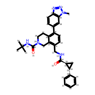 Cn1nnc2ccc(-c3ccc(CNC(=O)[C@H]4C[C@@H]4c4ccccc4)c4c3CCN(C(=O)NC(C)(C)C)C4)cc21